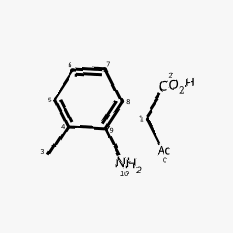 CC(=O)CC(=O)O.Cc1ccccc1N